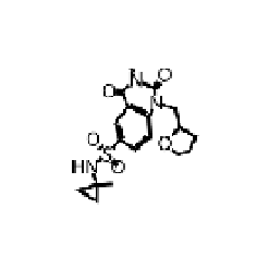 Cn1c(=O)c2cc(S(=O)(=O)NC3(C)CC3)ccc2n(CC2CCCO2)c1=O